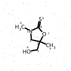 CN1CC(C)(CO)OC1=S